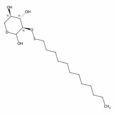 CCCCCCCCCCCCSO[C@H]1C(O)OC[C@@H](O)[C@@H]1O